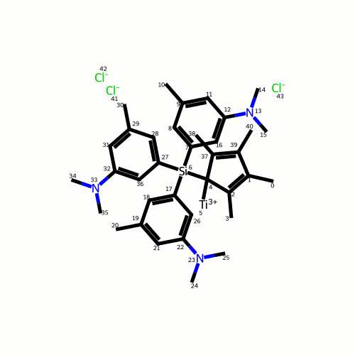 CC1=C(C)[C]([Ti+3])([Si](c2cc(C)cc(N(C)C)c2)(c2cc(C)cc(N(C)C)c2)c2cc(C)cc(N(C)C)c2)C(C)=C1C.[Cl-].[Cl-].[Cl-]